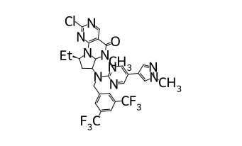 CC[C@@H]1CC(N(Cc2cc(C(F)(F)F)cc(C(F)(F)F)c2)c2ncc(-c3cnn(C)c3)cn2)C2N(C)C(=O)c3cnc(Cl)nc3N21